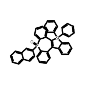 O=P1(c2ccc3ccccc3c2)c2ccccc2C2=C(c3ccccc31)[Si](c1ccccc1)(c1ccccc1)c1ccccc12